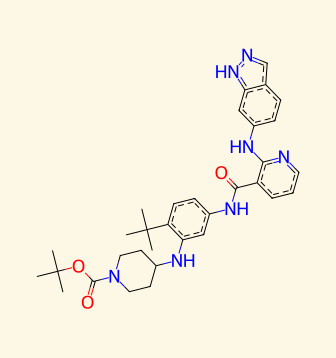 CC(C)(C)OC(=O)N1CCC(Nc2cc(NC(=O)c3cccnc3Nc3ccc4cn[nH]c4c3)ccc2C(C)(C)C)CC1